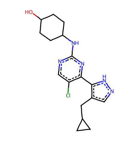 OC1CCC(Nc2ncc(Cl)c(-c3[nH]ncc3CC3CC3)n2)CC1